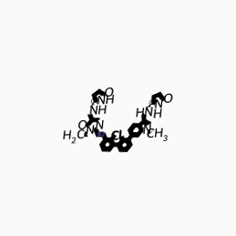 C=CN1C(=O)C(CNC[C@@H]2CCC(=O)N2)CN=C1/C=C/c1cccc(-c2cccc(C3=CC4C(C=C3)C(CNC[C@@H]3CCC(=O)N3)=CN4C)c2Cl)c1Cl